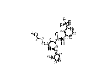 COCCOc1cc(C(=O)Nc2ccnc(C(F)(F)F)c2)nc(-c2cncn2C)n1